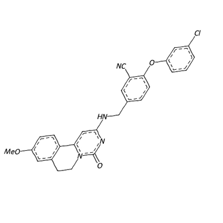 COc1ccc2c(c1)CCn1c-2cc(NCc2ccc(Oc3cccc(Cl)c3)c(C#N)c2)nc1=O